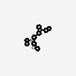 c1ccc2c(c1)-c1cc(-c3ccc4c(c3)c3cc5c(cc3n4-c3cccc4ccccc34)oc3ccccc35)ccc1C2c1ccc2ccccc2c1